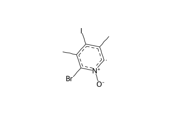 Cc1[c][n+]([O-])c(Br)c(C)c1I